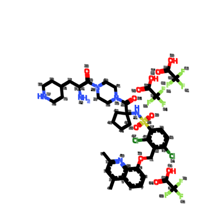 Cc1cc(C)c2cccc(OCc3c(Cl)ccc(S(=O)(=O)NC4(C(=O)N5CCN(C(=O)[C@@H](N)CC6CCNCC6)CC5)CCCC4)c3Cl)c2n1.O=C(O)C(F)(F)F.O=C(O)C(F)(F)F.O=C(O)C(F)(F)F